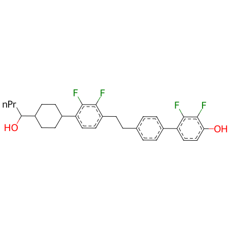 CCCC(O)C1CCC(c2ccc(CCc3ccc(-c4ccc(O)c(F)c4F)cc3)c(F)c2F)CC1